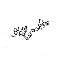 CCc1cccc2cc(O)cc(-c3ccc4c(N5CCC[C@@](C)(O)C5)nc(OCC5(CN6CCN(CC7CCC8(CC7)CCN(C(=O)c7ccc(C)c(N9CCC(=O)NC9=O)c7)CC8)CC6)CC5)nc4c3F)c12